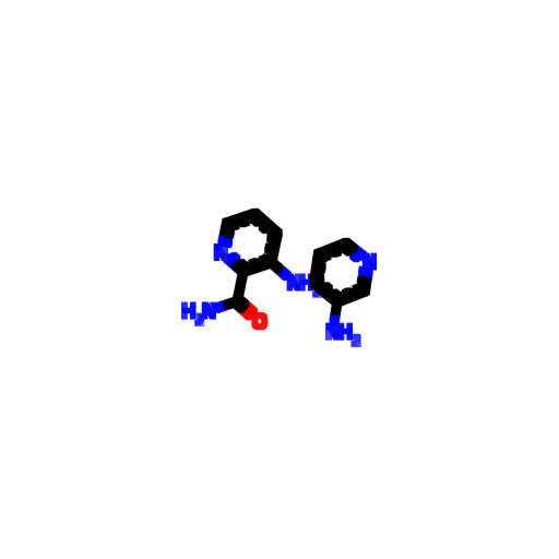 NC(=O)c1ncccc1N.Nc1cccnc1